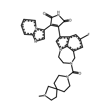 CN1CCC2(CCN(C(=O)N3CCn4cc(C5=C(c6cnc7ccccn67)C(=O)NC5=O)c5cc(F)cc(c54)C3)CC2)C1